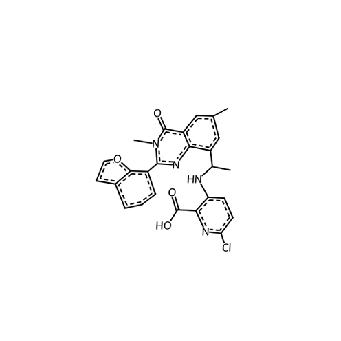 Cc1cc(C(C)Nc2ccc(Cl)nc2C(=O)O)c2nc(-c3cccc4ccoc34)n(C)c(=O)c2c1